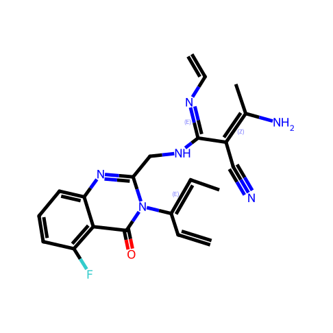 C=C/N=C(NCc1nc2cccc(F)c2c(=O)n1/C(C=C)=C/C)\C(C#N)=C(/C)N